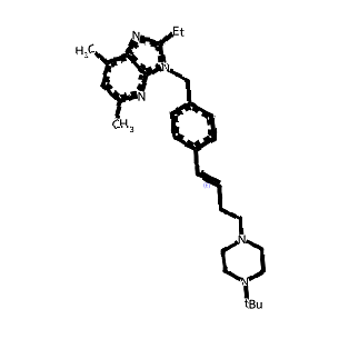 CCc1nc2c(C)cc(C)nc2n1Cc1ccc(/C=C/CCN2CCN(C(C)(C)C)CC2)cc1